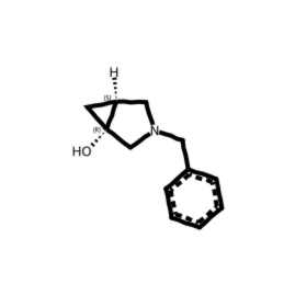 O[C@]12C[C@H]1CN(Cc1ccccc1)C2